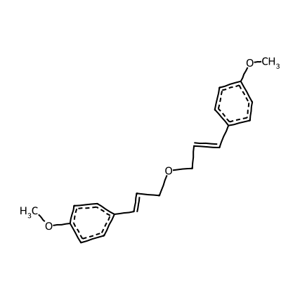 COc1ccc(C=CCOCC=Cc2ccc(OC)cc2)cc1